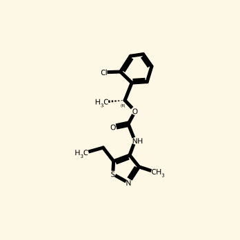 CCc1snc(C)c1NC(=O)O[C@H](C)c1ccccc1Cl